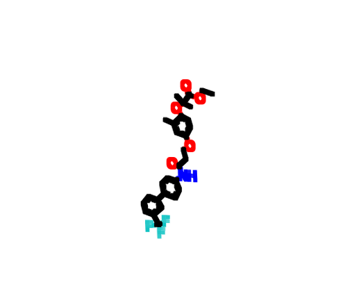 CCOC(=O)C(C)(C)Oc1ccc(OCCC(=O)Nc2ccc(-c3cccc(C(F)(F)F)c3)cc2)cc1C